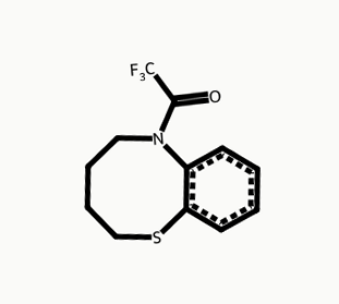 O=C(N1CCCCSc2ccccc21)C(F)(F)F